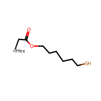 CCCCCCCC(=O)OCCCCCCS